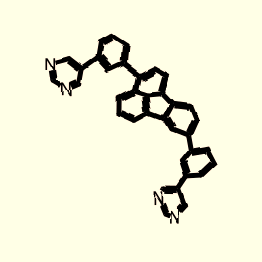 c1cc(-c2cncnc2)cc(-c2ccc3c(c2)-c2cccc4c(-c5cccc(-c6cncnc6)c5)ccc-3c24)c1